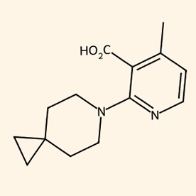 Cc1ccnc(N2CCC3(CC2)CC3)c1C(=O)O